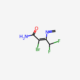 C=N/C(=C(/Br)C(N)=O)C(F)F